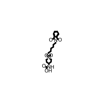 O=C(O)NC1CCN(S(=O)(=O)CCCCCCN2C(=O)c3ccccc3C2=O)CC1